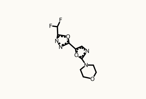 FC(F)c1nnc(-c2cnc(N3CCOCC3)o2)o1